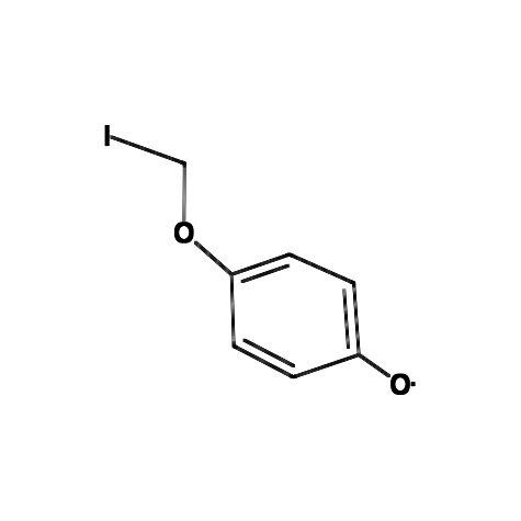 [O]c1ccc(OCI)cc1